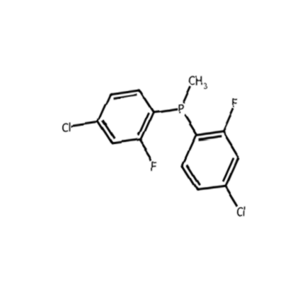 CP(c1ccc(Cl)cc1F)c1ccc(Cl)cc1F